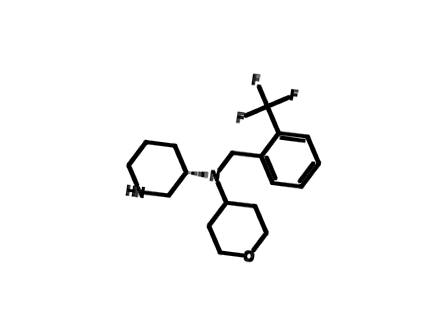 FC(F)(F)c1ccccc1CN(C1CCOCC1)[C@H]1CCCNC1